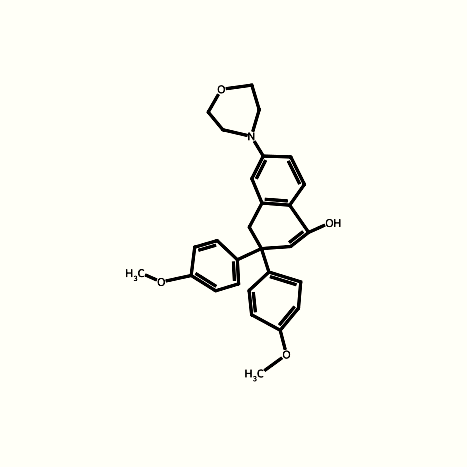 COc1ccc(C2(c3ccc(OC)cc3)C=C(O)c3ccc(N4CCOCC4)cc3C2)cc1